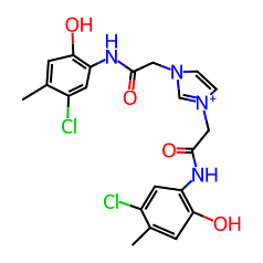 Cc1cc(O)c(NC(=O)Cn2cc[n+](CC(=O)Nc3cc(Cl)c(C)cc3O)c2)cc1Cl